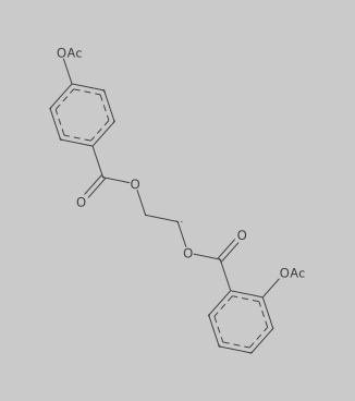 CC(=O)Oc1ccc(C(=O)OC[CH]OC(=O)c2ccccc2OC(C)=O)cc1